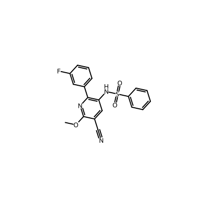 COc1nc(-c2cccc(F)c2)c(NS(=O)(=O)c2ccccc2)cc1C#N